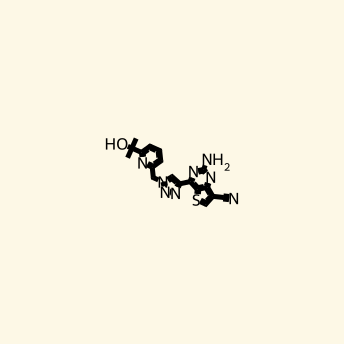 CC(C)(O)c1cccc(Cn2cc(-c3nc(N)nc4c(C#N)csc34)nn2)n1